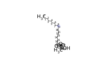 CCCCCCCC/C=C\CCCCCCCC(=O)OS(=O)(=O)C(C)O